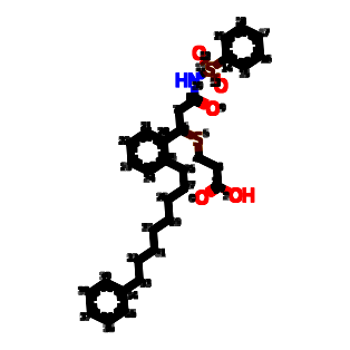 O=C(O)CCSC(CC(=O)NS(=O)(=O)c1ccccc1)c1ccccc1CCCCCCCCc1ccccc1